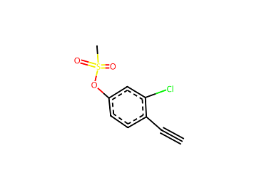 C#Cc1ccc(OS(C)(=O)=O)cc1Cl